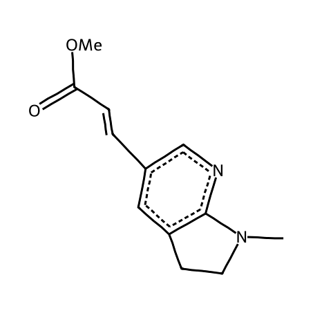 COC(=O)/C=C/c1cnc2c(c1)CCN2C